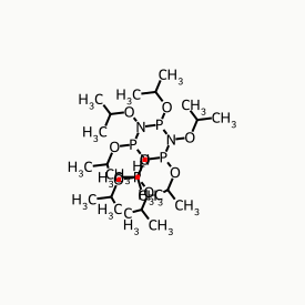 CC(C)ON(P(N=[PH](OC(C)C)OC(C)C)OC(C)C)P(OC(C)C)N(OC(C)C)P(OC(C)C)OC(C)C